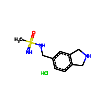 CS(=N)(=O)NCc1ccc2c(c1)CNC2.Cl